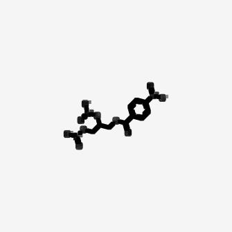 O=C(OCC(CO[N+](=O)[O-])O[N+](=O)[O-])c1ccc([N+](=O)[O-])cc1